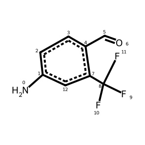 Nc1ccc(C=O)c(C(F)(F)F)c1